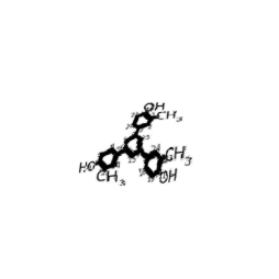 Cc1cc(-c2cc(-c3ccc(O)c(C)c3)cc(-c3ccc(O)c(C)c3)c2)ccc1O